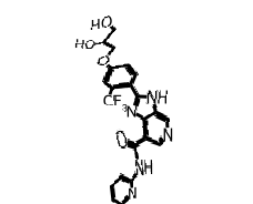 O=C(Nc1ccccn1)c1cncc2[nH]c(-c3ccc(OC[C@@H](O)CO)cc3C(F)(F)F)nc12